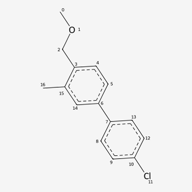 COCc1ccc(-c2ccc(Cl)cc2)cc1C